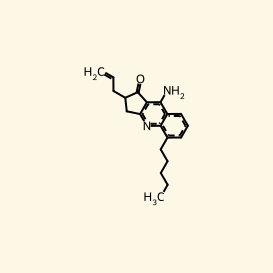 C=CCC1Cc2nc3c(CCCCC)cccc3c(N)c2C1=O